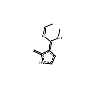 C=c1[nH]cc/c1=C(/N=C\C)NC